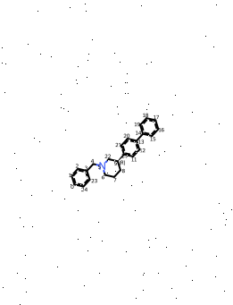 c1ccc(CN2CCC[C@H](c3ccc(-c4ccccc4)cc3)C2)cc1